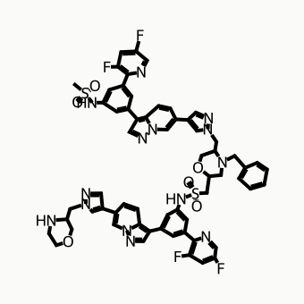 CS(=O)(=O)Nc1cc(-c2ncc(F)cc2F)cc(-c2cnn3cc(-c4cnn(CC5COC(CS(=O)(=O)Nc6cc(-c7ncc(F)cc7F)cc(-c7cnn8cc(-c9cnn(CC%10COCCN%10)c9)ccc78)c6)CN5Cc5ccccc5)c4)ccc23)c1